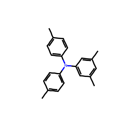 Cc1ccc(N(c2ccc(C)cc2)c2cc(C)cc(C)c2)cc1